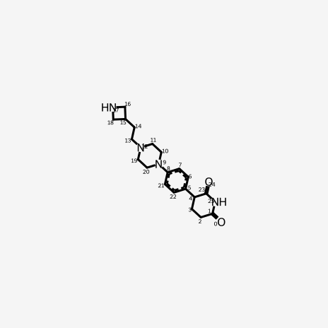 O=C1CCC(c2ccc(N3CCN(CCC4CNC4)CC3)cc2)C(=O)N1